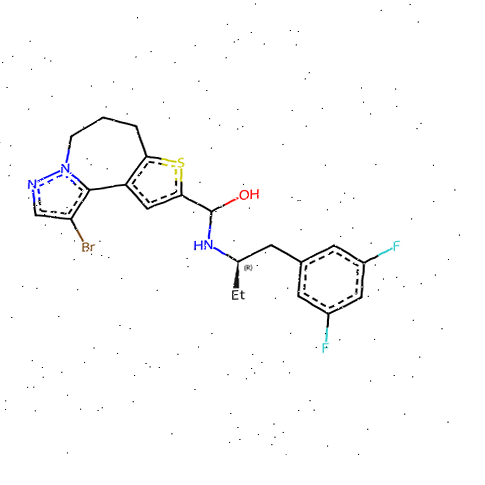 CC[C@H](Cc1cc(F)cc(F)c1)NC(O)c1cc2c(s1)CCCn1ncc(Br)c1-2